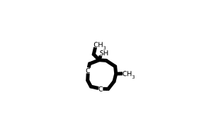 CCC1(S)CCCCCCCC(C)CC1